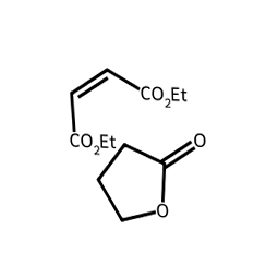 CCOC(=O)/C=C\C(=O)OCC.O=C1CCCO1